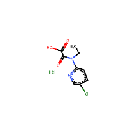 CCN(C(=O)C(=O)O)c1ccc(Cl)cn1.Cl